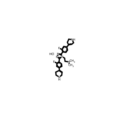 CN(C)CCn1c(-c2ccc(C3=CCNCC3)cc2F)nnc1-c1ccc(C2=CCNCC2)cc1F.Cl